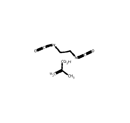 C=C(C)C(=O)O.O=C=NCCN=C=O